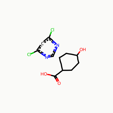 Clc1cc(Cl)ncn1.O=C(O)C1CCC(O)CC1